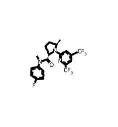 C[C@@H]1CC[C@@H](C(=O)N(C)c2ccc(F)cc2)N1c1cc(C(F)(F)F)cc(C(F)(F)F)n1